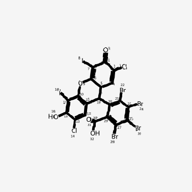 O=C1C(Cl)=CC2C(=C1I)Oc1c(cc(Cl)c(O)c1I)C2c1c(Br)c(Br)c(Br)c(Br)c1C(=O)O